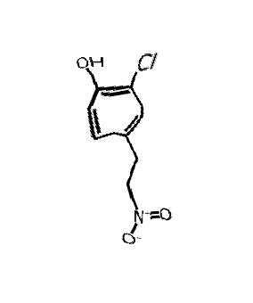 O=[N+]([O-])CCc1ccc(O)c(Cl)c1